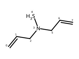 C=CCN([SH3])CC=C